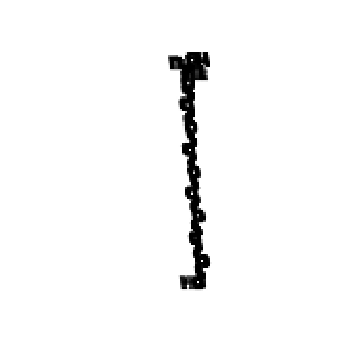 CCC(O)(CC)COCCOCCOCCOCCOCCOCCOCCOCCOCCO